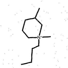 CCCC[N+]1(C)CCCC(C)C1